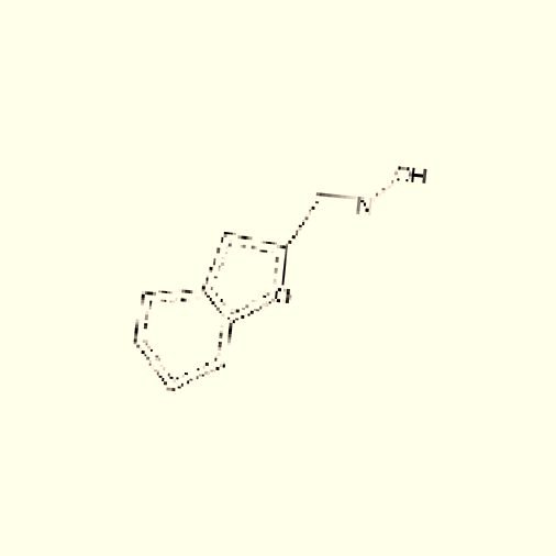 ON=Cc1cc2ccccc2o1